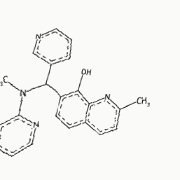 Cc1ccc2ccc(C(c3cccnc3)N(C)c3ccccn3)c(O)c2n1